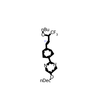 CCCCCCCCCCOc1cnc(-c2ccc(/C=C/C(OCCCC)C(F)(F)F)cc2)nc1